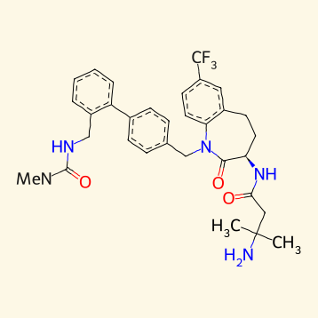 CNC(=O)NCc1ccccc1-c1ccc(CN2C(=O)[C@H](NC(=O)CC(C)(C)N)CCc3cc(C(F)(F)F)ccc32)cc1